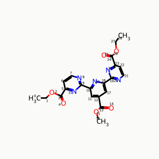 CCOC(=O)c1ccnc(-c2cc(C(=O)OC)cc(-c3nccc(C(=O)OCC)n3)n2)n1